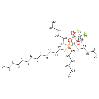 CCCCCCCCCCCCCCP(CCCCCC)(CCCCCC)(CCCCCC)OS(=O)(=O)C(F)(F)F